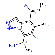 C/C=C(\N)c1c(C)c(F)c([C@H](C)N)c2[nH]ncc12